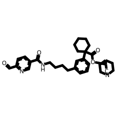 O=Cc1ccc(C(=O)NCCCCc2cccc(C3(C(=O)OC4CN5CCC4CC5)CCCCC3)c2)cn1